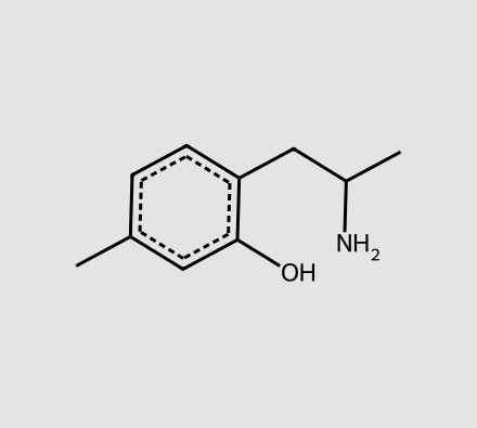 Cc1ccc(CC(C)N)c(O)c1